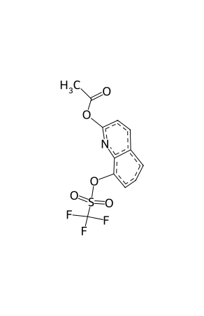 CC(=O)Oc1ccc2cccc(OS(=O)(=O)C(F)(F)F)c2n1